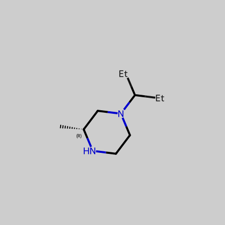 CCC(CC)N1CCN[C@H](C)C1